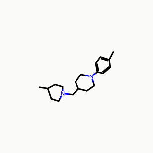 Cc1ccc(N2CCC(CN3CCC(C)CC3)CC2)cc1